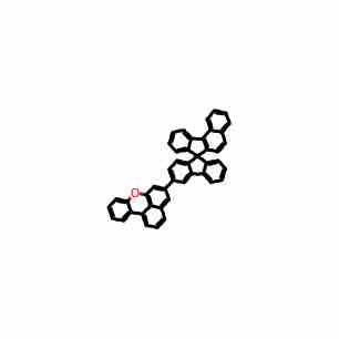 c1ccc2c(c1)Oc1cc(-c3ccc4c(c3)-c3ccccc3C43c4ccccc4-c4c3ccc3ccccc43)cc3cccc-2c13